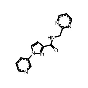 O=C(NCc1ncccn1)[C]1=[In][N](c2cccnc2)C=C1